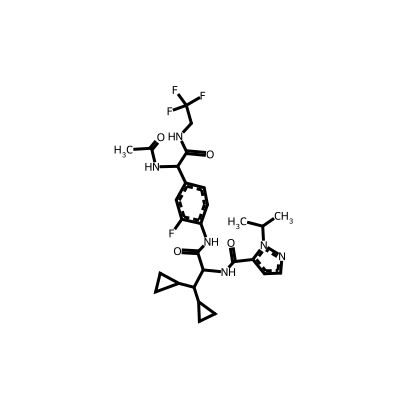 CC(=O)NC(C(=O)NCC(F)(F)F)c1ccc(NC(=O)C(NC(=O)c2ccnn2C(C)C)C(C2CC2)C2CC2)c(F)c1